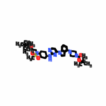 CC(C)(C)OC(=O)N1CCN(c2cccc3c2ccn3-c2ccnc(NC3CCC(N(CCO[Si](C)(C)C(C)(C)C)S(C)(=O)=O)CC3)n2)CC1